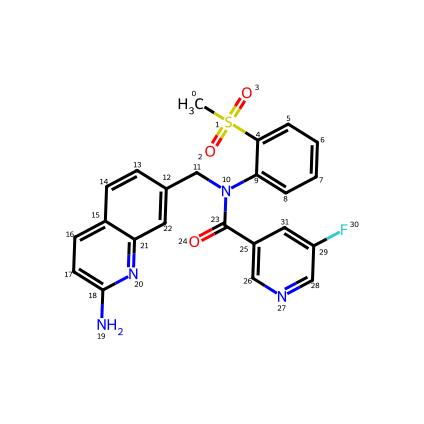 CS(=O)(=O)c1ccccc1N(Cc1ccc2ccc(N)nc2c1)C(=O)c1cncc(F)c1